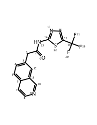 O=C(Cc1ccc2ccncc2c1)Nc1ncc(C(F)(F)F)s1